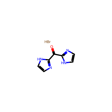 Br.O=C(c1ncc[nH]1)c1ncc[nH]1